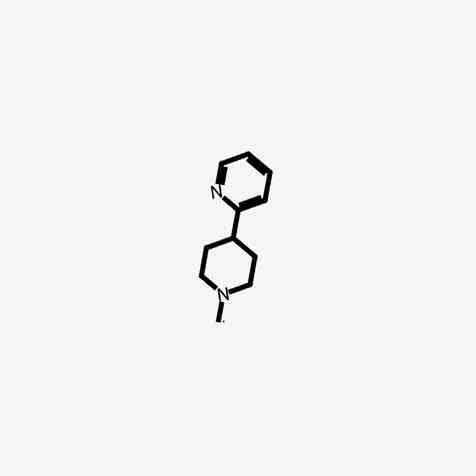 [CH2]N1CCC(c2ccccn2)CC1